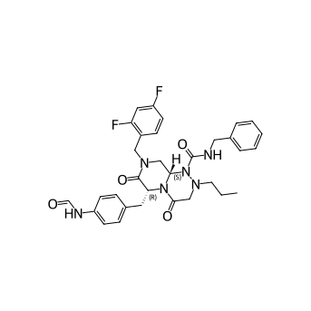 CCCN1CC(=O)N2[C@H](Cc3ccc(NC=O)cc3)C(=O)N(Cc3ccc(F)cc3F)C[C@@H]2N1C(=O)NCc1ccccc1